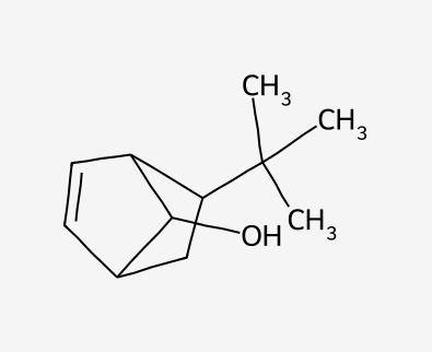 CC(C)(C)C1CC2C=CC1C2O